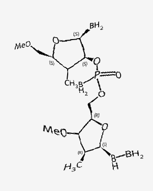 BB[C@@H]1O[C@H](COP(B)(=O)O[C@H]2C(C)[C@@H](COC)O[C@H]2B)C(OC)[C@@H]1C